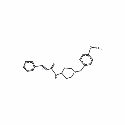 COc1ccc(CN2CCC(NC(=O)/C=C/c3ccccc3)CC2)cc1